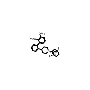 COc1cccc(-c2ccccc2C2CCN([C@H]3C[C@H]4CC[C@H]3C4)CC2)c1OC